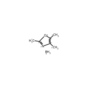 B.Cc1nc(C)c(C)o1